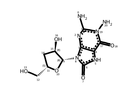 Nc1nc2c([nH]c(=O)n2[C@@H]2O[C@H](CO)C[C@H]2O)c(=O)n1N